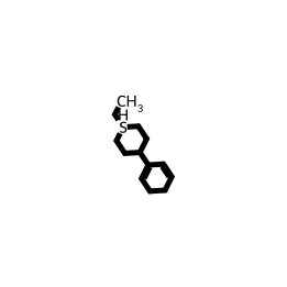 CC[SH]1CCC(C2=CCCC=C2)CC1